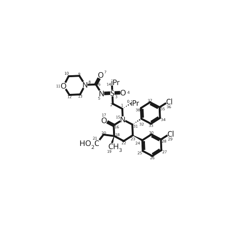 CC(C)[C@@H](CS(=O)(=NC(=O)N1CCOCC1)C(C)C)N1C(=O)[C@@](C)(CC(=O)O)C[C@H](c2cccc(Cl)c2)[C@H]1c1ccc(Cl)cc1